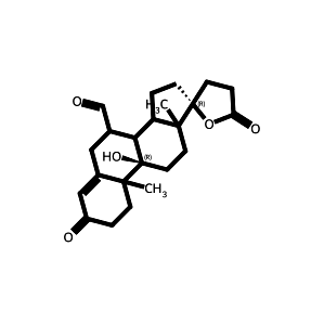 CC12CC[C@@]3(O)C(C(C=O)CC4=CC(=O)CCC43C)C1CC[C@@]21CCC(=O)O1